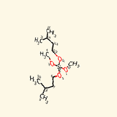 CO[Si](OC)(OCCC(C)C)OCCC(C)C